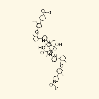 CCc1cc(OCC2=C(c3cccc(-n4nc(-c5nn(-c6cccc(C7=C(COc8ccc(C9CCN(C(=O)C%10CC%10)CC9)c(CC)c8)C(C)CCC7)n6)c(CC)c5C(=O)O)c(C(=O)O)c4C)n3)CCCC2C)ccc1C1CCN(C(=O)C2CC2)CC1